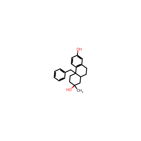 CC1(O)CCC2(Cc3ccccc3)c3ccc(O)cc3CCC2C1